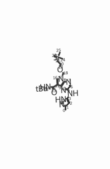 Cc1cc(Nc2cnc3c(n2)c(C(=O)NC(C)(C)C)cn3COCC[Si](C)(C)C)[nH]n1